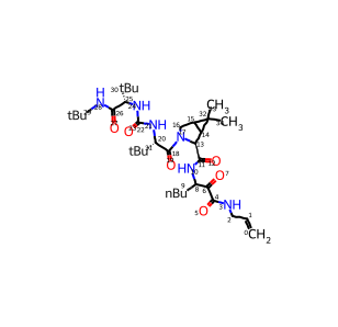 C=CCNC(=O)C(=O)C(CCCC)NC(=O)[C@@H]1C2C(CN1C(=O)[C@@H](NC(=O)N[C@H](C(=O)NC(C)(C)C)C(C)(C)C)C(C)(C)C)C2(C)C